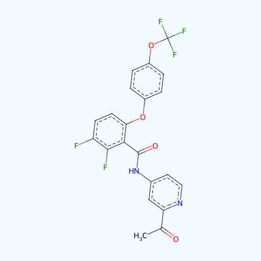 CC(=O)c1cc(NC(=O)c2c(Oc3ccc(OC(F)(F)F)cc3)ccc(F)c2F)ccn1